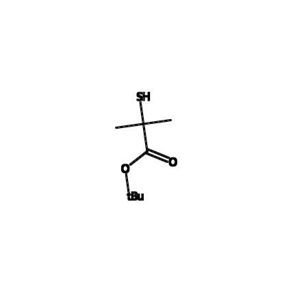 CC(C)(C)OC(=O)C(C)(C)S